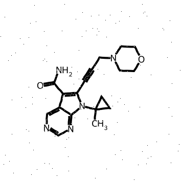 CC1(n2c(C#CCN3CCOCC3)c(C(N)=O)c3cncnc32)CC1